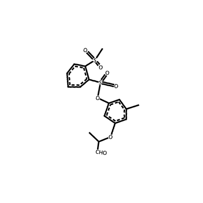 Cc1cc(OC(C)C=O)cc(OS(=O)(=O)c2ccccc2S(C)(=O)=O)c1